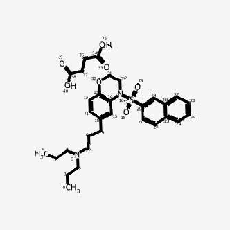 CCCN(CCC)CCCc1ccc2c(c1)N(S(=O)(=O)c1ccc3ccccc3c1)CCO2.O=C(O)CCC(=O)O